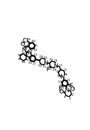 O=C1CCCC(=O)N1c1c(F)cc(N2CCC(CN3CCC(N4CCC(c5ccc6c(c5)-n5c(nc(=O)c7c(Cl)cccc75)C65CCCCC5)CC4)C(F)C3)CC2)cc1F